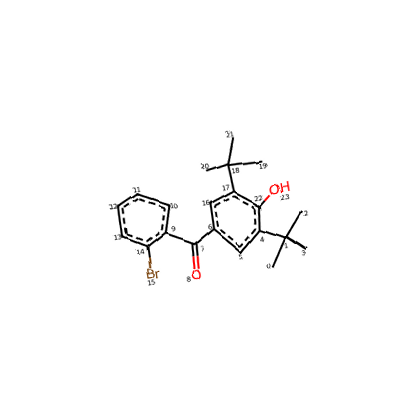 CC(C)(C)c1cc(C(=O)c2ccccc2Br)cc(C(C)(C)C)c1O